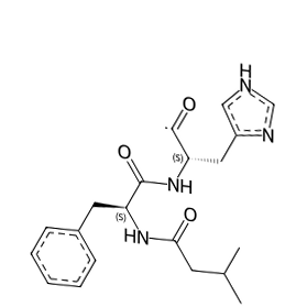 CC(C)CC(=O)N[C@@H](Cc1ccccc1)C(=O)N[C@H]([C]=O)Cc1c[nH]cn1